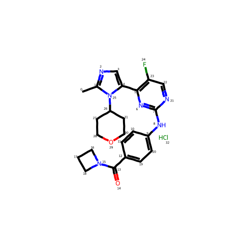 Cc1ncc(-c2nc(Nc3ccc(C(=O)N4CCC4)cc3)ncc2F)n1C1CCOCC1.Cl